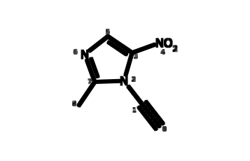 C#Cn1c([N+](=O)[O-])cnc1C